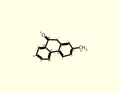 Cc1ccc2c(c1)CC(=O)c1ccccc1-2